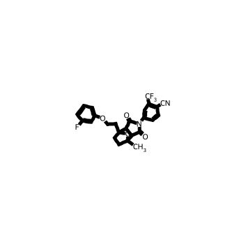 CC12CCC(CCOc3cccc(F)c3)(O1)C1C(=O)N(c3ccc(C#N)c(C(F)(F)F)c3)C(=O)C12